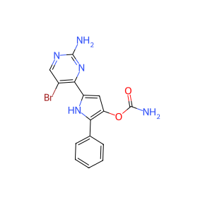 NC(=O)Oc1cc(-c2nc(N)ncc2Br)[nH]c1-c1ccccc1